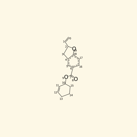 C=CC1Cc2cc(C(=O)OC3C=CCCC3)ccc2O1